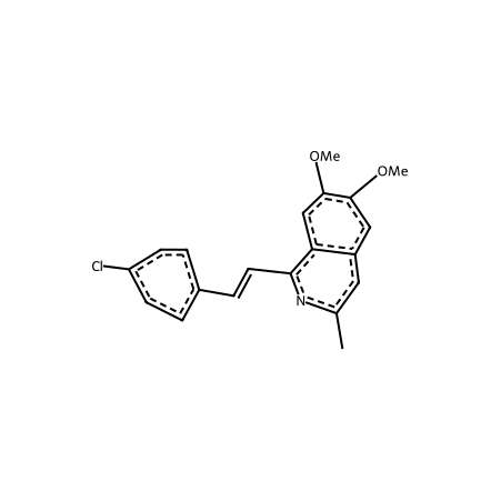 COc1cc2cc(C)nc(/C=C/c3ccc(Cl)cc3)c2cc1OC